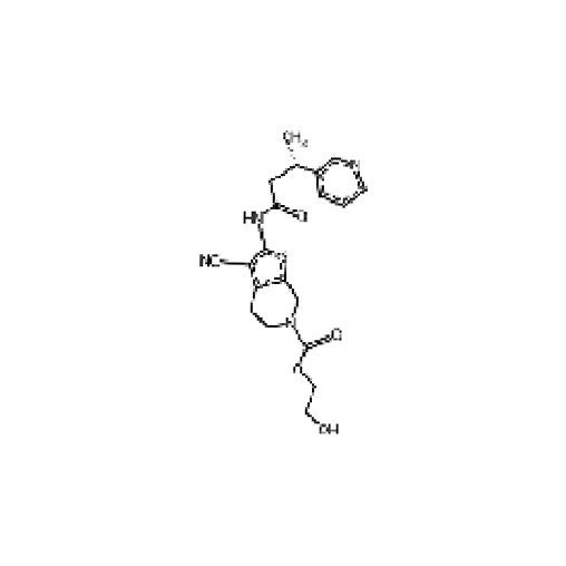 C[C@@H](CC(=O)Nc1sc2c(c1C#N)CCN(C(=O)OCCO)C2)c1cccnc1